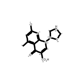 Cc1cc(Cl)nc2c1c(=O)c(C(=O)O)cn2N1CNCS1